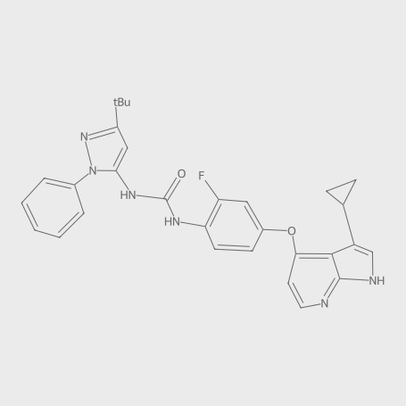 CC(C)(C)c1cc(NC(=O)Nc2ccc(Oc3ccnc4[nH]cc(C5CC5)c34)cc2F)n(-c2ccccc2)n1